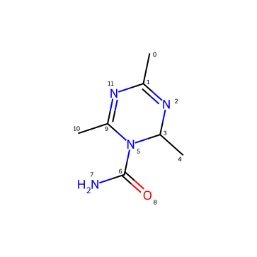 CC1=NC(C)N(C(N)=O)C(C)=N1